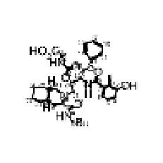 Cc1c(O)cccc1C(=O)N[C@@H](CSc1ccccc1)[C@@H](CN1C[C@H]2CCCC[C@H]2C[C@H]1C(=O)NC(C)(C)C)OC(=O)NCC(=O)O